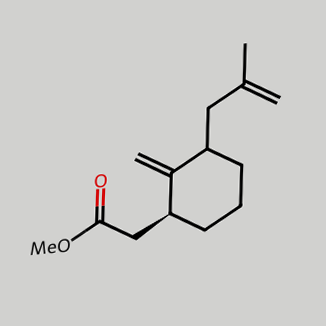 C=C(C)CC1CCC[C@@H](CC(=O)OC)C1=C